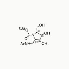 CC(=O)NC[C@@H]1[C@@H](O)[C@H](O)[C@@H](CO)N1C(=O)OC(C)(C)C